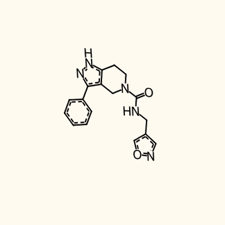 O=C(NCc1cnoc1)N1CCc2[nH]nc(-c3ccccc3)c2C1